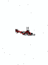 COc1nc(-c2n[nH]c3ccc(NC(=O)C4(SC)CCN(CC(=O)N5CC=C(c6ccc(-c7ncn(C)n7)c(F)c6)CC5)C4)cc23)ccc1OC1CC1